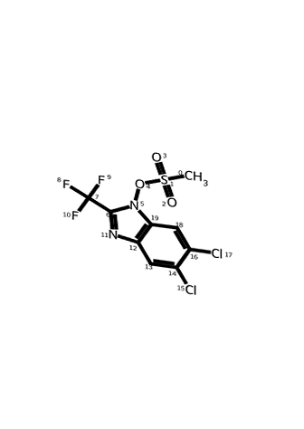 CS(=O)(=O)On1c(C(F)(F)F)nc2cc(Cl)c(Cl)cc21